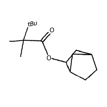 CC(C)(C)C(C)(C)C(=O)OC1CC2CCC1C2